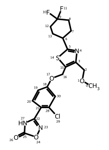 COCc1nc(C2CCC(F)(F)CC2)sc1COc1ccc(-c2noc(=O)[nH]2)c(Cl)c1